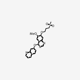 COc1cc2c(Oc3ccc4cccnc4c3)ncnc2cc1OCCCS(C)(=O)=O